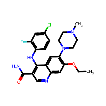 CCOc1cc2ncc(C(N)=O)c(Nc3ccc(Cl)cc3F)c2cc1N1CCN(C)CC1